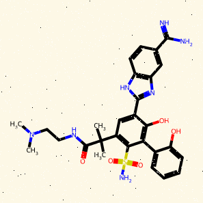 CN(C)CCNC(=O)C(C)(C)c1cc(-c2nc3cc(C(=N)N)ccc3[nH]2)c(O)c(-c2ccccc2O)c1S(N)(=O)=O